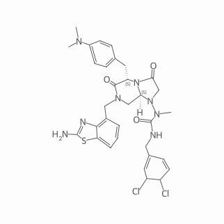 CN(C)c1ccc(C[C@H]2C(=O)N(Cc3cccc4sc(N)nc34)C[C@H]3N2C(=O)CN3N(C)C(=O)NCC2=CC(Cl)C(Cl)C=C2)cc1